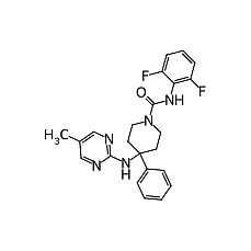 Cc1cnc(NC2(c3ccccc3)CCN(C(=O)Nc3c(F)cccc3F)CC2)nc1